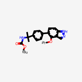 CC(C)Oc1c(-c2ccc(C(C)(C)NC(=O)OC(C)(C)C)cc2)ccc2[nH]ncc12